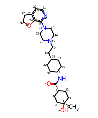 C[C@]1(O)CC[C@H](C(=O)N[C@H]2CC[C@H](CCN3CCN(c4nccc5c4OCC5)CC3)CC2)CC1